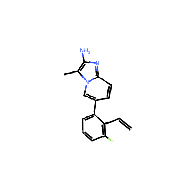 C=Cc1c(F)cccc1-c1ccc2nc(N)c(C)n2c1